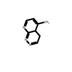 CC1=CC=NC2=NN=CCC12